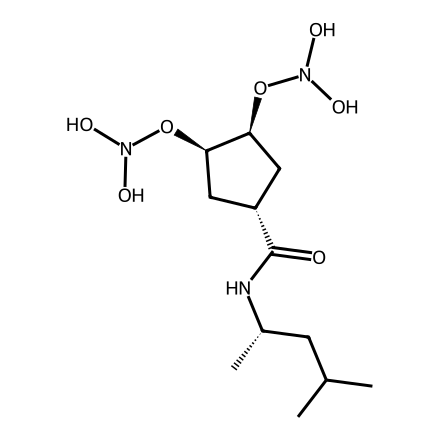 CC(C)C[C@H](C)NC(=O)[C@H]1C[C@H](ON(O)O)[C@H](ON(O)O)C1